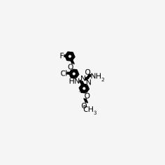 COCCOc1[c]cc2c(Nc3ccc(OCc4cccc(F)c4)c(Cl)c3)nc(C(N)=O)nc2c1